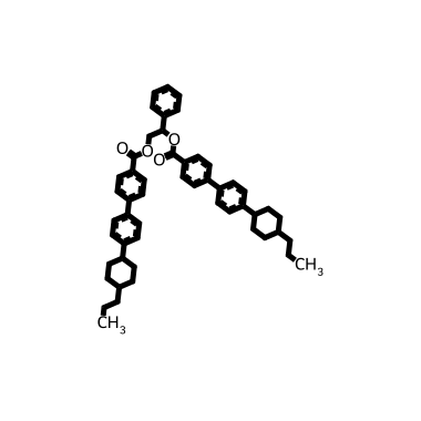 CCCC1CCC(c2ccc(-c3ccc(C(=O)OCC(OC(=O)c4ccc(-c5ccc(C6CCC(CCC)CC6)cc5)cc4)c4ccccc4)cc3)cc2)CC1